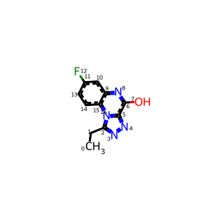 CCc1nnc2c(O)nc3cc(F)ccc3n12